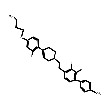 CCCCOc1ccc(C2=CCC(CCc3ccc(-c4ccc(C)cc4)c(F)c3F)CC2)c(F)c1